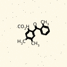 Cc1cc(C(=O)O)c(C(=O)c2ccccc2C)cc1C